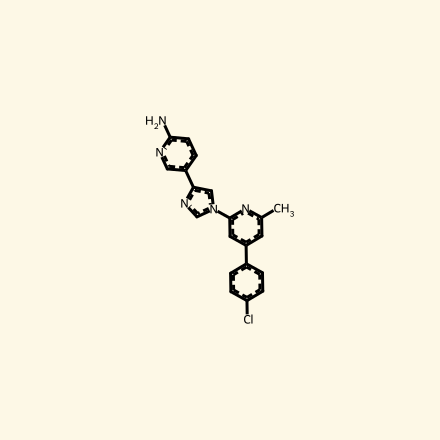 Cc1cc(-c2ccc(Cl)cc2)cc(-n2cnc(-c3ccc(N)nc3)c2)n1